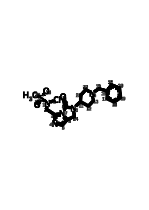 CN(Cc1ncc2n1C(=O)N(C1CCN(Cc3ccccc3)CC1)C2)S(C)(=O)=O